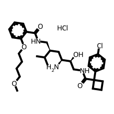 COCCCCOc1ccccc1C(=O)NC[C@@H](C[C@H](N)[C@@H](O)CNC(=O)C1(c2ccc(Cl)cc2)CCC1)C(C)C.Cl